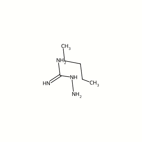 CCCCC.N=C(N)NN